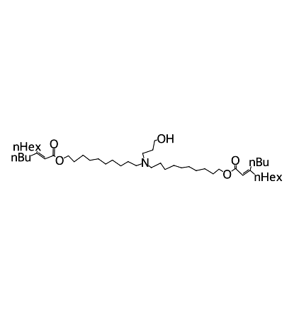 CCCCCCC(=CC(=O)OCCCCCCCCCCN(CCCO)CCCCCCCCCCOC(=O)/C=C(/CCCC)CCCCCC)CCCC